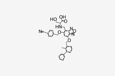 Cc1c(COc2cc(OCc3ccc(C#N)cc3)c(CNC(CO)C(=O)O)c3nonc23)cccc1-c1ccccc1